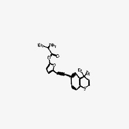 CCCC(CC)C(=O)Oc1ccc(C#Cc2ccc3c(c2)C(CC)(CC)CCS3)o1